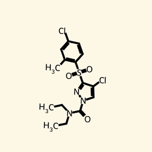 CCN(CC)C(=O)n1cc(Cl)c(S(=O)(=O)c2ccc(Cl)cc2C)n1